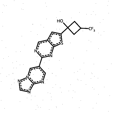 OC1(c2cc3cnc(-c4cnc5ncnn5c4)nc3s2)CC(C(F)(F)F)C1